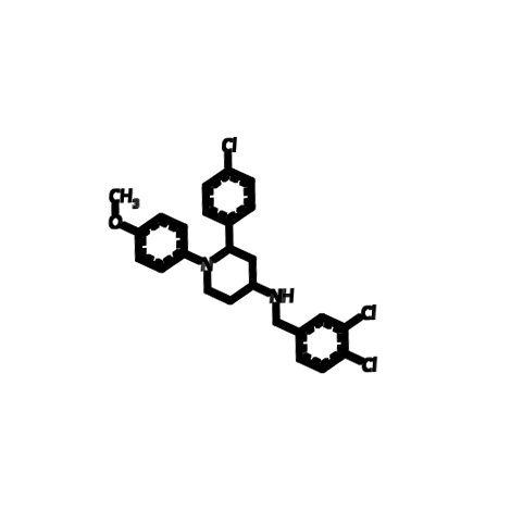 COc1ccc(N2CCC(NCc3ccc(Cl)c(Cl)c3)CC2c2ccc(Cl)cc2)cc1